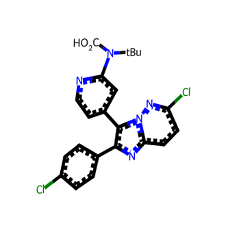 CC(C)(C)N(C(=O)O)c1cc(-c2c(-c3ccc(Cl)cc3)nc3ccc(Cl)nn23)ccn1